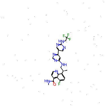 CNC(=O)c1ccnc2c([C@H](C)CNc3cc(-c4cnc(NCC(F)(F)F)nc4)ncn3)ccc(F)c12